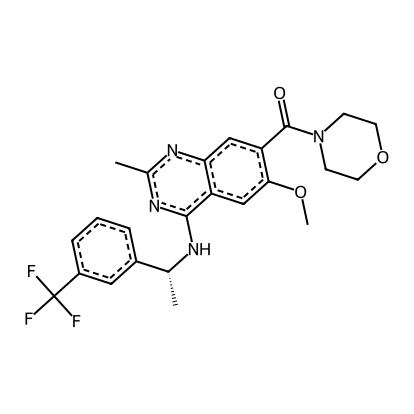 COc1cc2c(N[C@H](C)c3cccc(C(F)(F)F)c3)nc(C)nc2cc1C(=O)N1CCOCC1